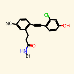 CCNC(=O)CCc1cc(C#N)ccc1C#Cc1ccc(O)cc1Cl